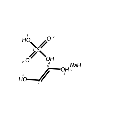 O=S(=O)(O)O.OC=CO.[NaH]